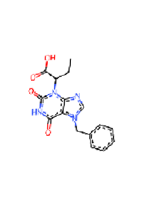 CCC(C(=O)O)n1c(=O)[nH]c(=O)c2c1ncn2Cc1ccccc1